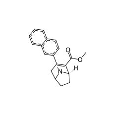 COC(=O)C1=C(c2ccc3ccccc3c2)CC2CC[C@H]1N2C